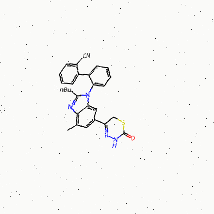 CCCCc1nc2c(C)cc(C3=NNC(=O)SC3)cc2n1-c1ccccc1-c1ccccc1C#N